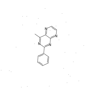 Cc1nc(-c2ccccc2)nc2nccnc12